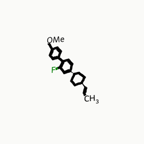 CC=C[C@H]1CC[C@H](c2ccc(-c3ccc(COC)cc3)c(F)c2)CC1